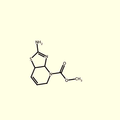 COC(=O)N1CC=CC2SC(N)=NC21